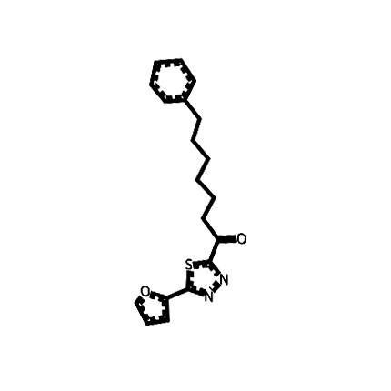 O=C(CCCCCCc1ccccc1)c1nnc(-c2ccco2)s1